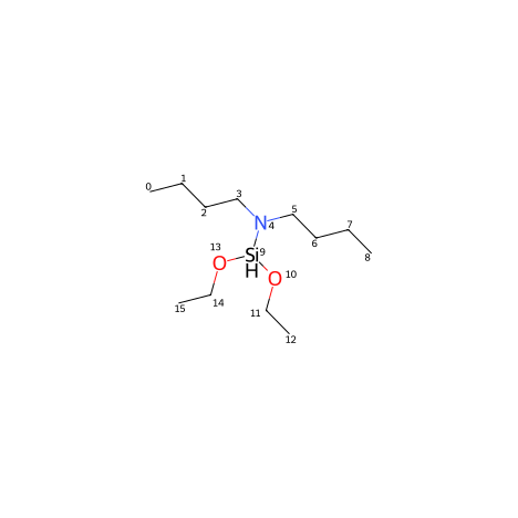 CCCCN(CCCC)[SiH](OCC)OCC